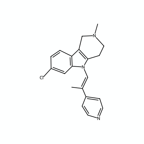 CC(=Cn1c2c(c3ccc(Cl)cc31)CN(C)CC2)c1ccncc1